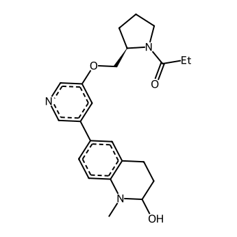 CCC(=O)N1CCC[C@@H]1COc1cncc(-c2ccc3c(c2)CCC(O)N3C)c1